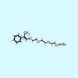 CCCCOCCOCCOCCO/C=C(\C)c1ccccc1